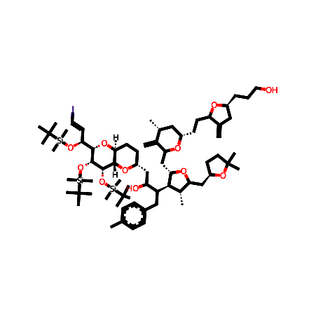 C=C1C[C@H](CCCO)OC1CC[C@H]1C[C@@H](C)C(=C)C(C[C@@H]2OC(C[C@H]3CCC(C)(C)O3)[C@H](C)[C@H]2C(Cc2ccc(C)cc2)C(O)C[C@H]2CC[C@@H]3O[C@@H]([C@H](/C=C/I)O[Si](C)(C)C(C)(C)C)[C@@H](O[Si](C)(C)C(C)(C)C)[C@@H](O[Si](C)(C)C(C)(C)C)[C@H]3O2)O1